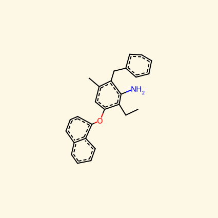 CCc1c(Oc2cccc3ccccc23)cc(C)c(Cc2ccccc2)c1N